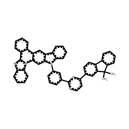 CC1(C)c2ccccc2-c2ccc(-c3ccnc(-c4cccc(-n5c6ccccc6c6cc7c8ccccc8c8nc9ccccc9n8c7cc65)c4)n3)cc21